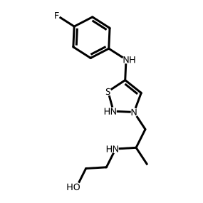 CC(CN1C=C(Nc2ccc(F)cc2)SN1)NCCO